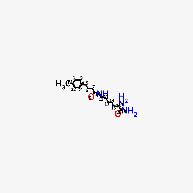 Cc1ccc(CCCC(=O)NCCCCCC(N)C(N)=O)cc1